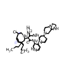 CCCC1(CCC)/C=C\C(Cl)=C/NC(C(C(=O)NC2CNCCC2N2CCC(N3CCN4CCNC4C3)CC2)C(N)N)C1